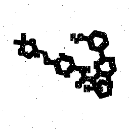 CC1(C)OC[C@@H](COc2cnc(NC(=O)N3c4nc(-c5cccc(C(F)(F)F)c5)ncc4N4CC[C@H]3C4)cn2)O1